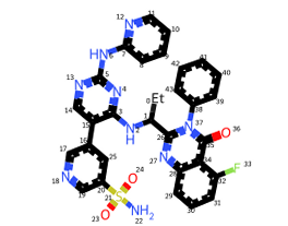 CCC(Nc1nc(Nc2ccccn2)ncc1-c1cncc(S(N)(=O)=O)c1)c1nc2cccc(F)c2c(=O)n1-c1ccccc1